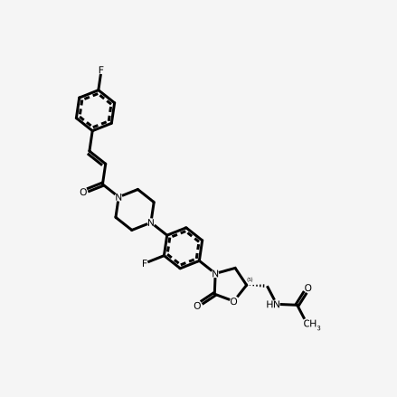 CC(=O)NC[C@H]1CN(c2ccc(N3CCN(C(=O)C=Cc4ccc(F)cc4)CC3)c(F)c2)C(=O)O1